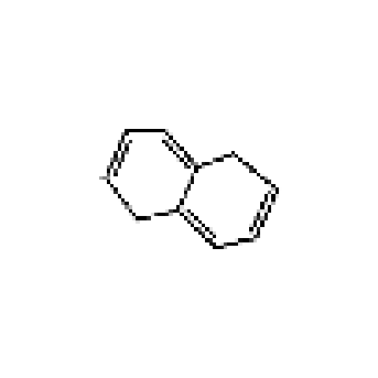 [C]1=CC=C2CC=CC=C2C1